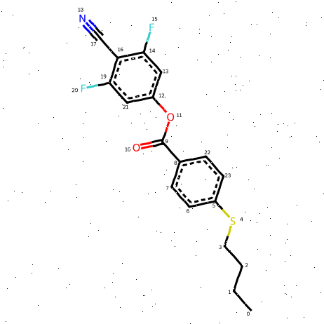 CCCCSc1ccc(C(=O)Oc2cc(F)c(C#N)c(F)c2)cc1